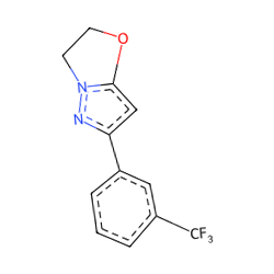 FC(F)(F)c1cccc(-c2cc3n(n2)CCO3)c1